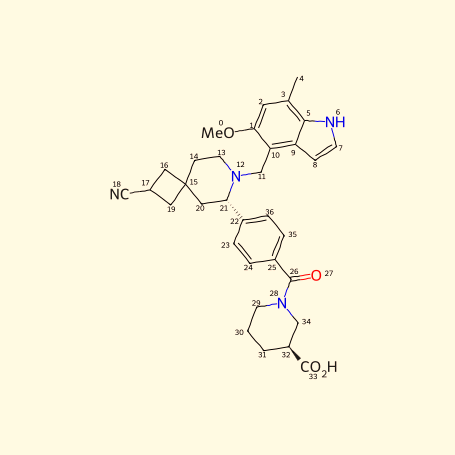 COc1cc(C)c2[nH]ccc2c1CN1CCC2(CC(C#N)C2)C[C@H]1c1ccc(C(=O)N2CCC[C@H](C(=O)O)C2)cc1